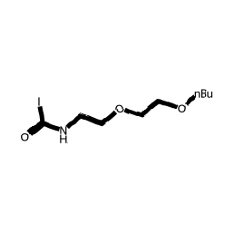 CCCCOCCOCCNC(=O)I